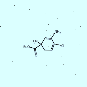 CC(C)COC(=O)C1(N)C=C(N)C(Cl)=CC1